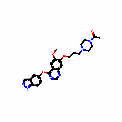 COc1cc2c(Oc3ccc4[nH]ncc4c3)ncnc2cc1OCCCN1CCN(C(C)=O)CC1